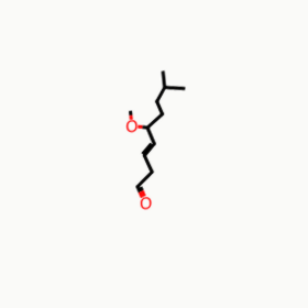 COC(/C=C/CC=O)CCC(C)C